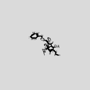 CCCc1cc(F)c2oc(C(=O)OCc3ccccc3)c(C)c2c1O